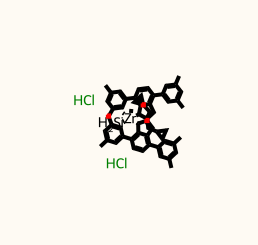 Cc1cc(C)cc(-c2ccc(-c3cc(C)cc(C)c3)c3c2C=C(CC2CC2)[CH]3[Zr]([CH3])([CH3])(=[SiH2])[CH]2C(CC3CC3)=Cc3c(-c4cc(C)cc(C)c4)ccc(-c4cc(C)cc(C)c4)c32)c1.Cl.Cl